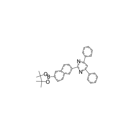 CC1(C)OB(c2ccc3cc(-c4nc(-c5ccccc5)cc(-c5ccccc5)n4)ccc3c2)OC1(C)C